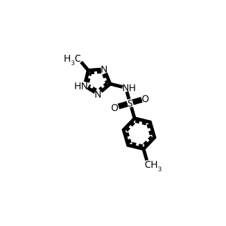 Cc1ccc(S(=O)(=O)Nc2n[nH]c(C)n2)cc1